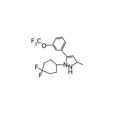 CC1C=C(c2cccc(OC(F)(F)F)c2)N(C2CCC(F)(F)CC2)N1